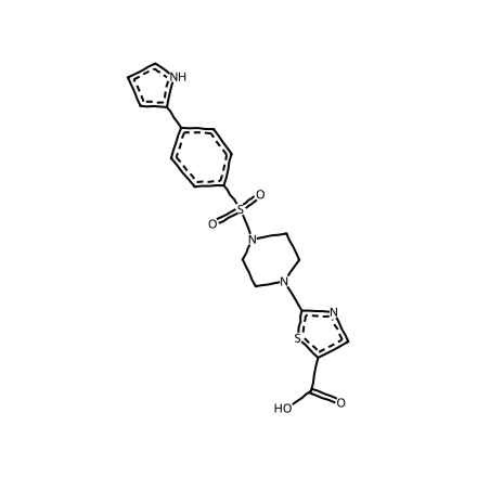 O=C(O)c1cnc(N2CCN(S(=O)(=O)c3ccc(-c4ccc[nH]4)cc3)CC2)s1